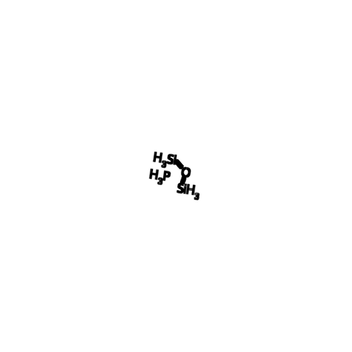 P.[SiH3]O[SiH3]